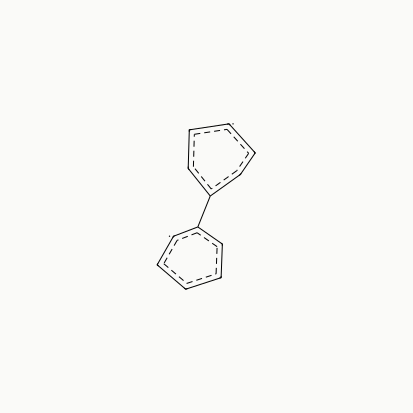 [c]1ccc(-c2[c]cccc2)cc1